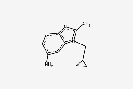 Cc1nc2ccc(N)cc2n1CC1CC1